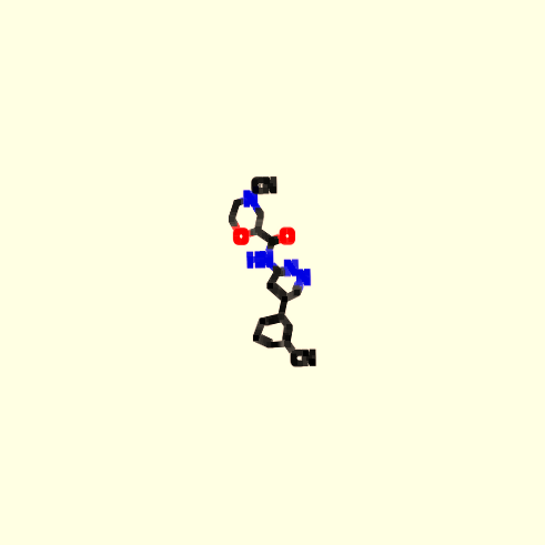 N#Cc1cccc(-c2cnnc(NC(=O)C3CN(C#N)CCO3)c2)c1